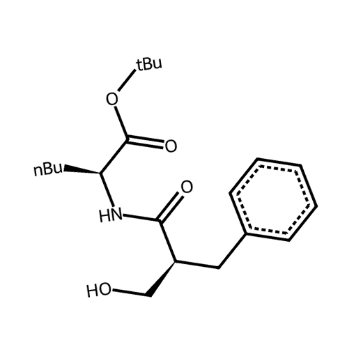 CCCC[C@H](NC(=O)[C@H](CO)Cc1ccccc1)C(=O)OC(C)(C)C